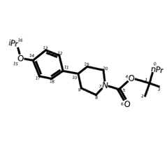 CCCC(C)(C)OC(=O)N1CCC(c2ccc(OC(C)C)cc2)CC1